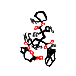 CCC(C)(CC(C)(CC(C)(C)C(=O)OC1C2CC3OC(=O)CC1C3C2)C(=O)OC1(CC)C2CC3CC(C2)CC1C3)C(=O)OC1(C(C)C)CCCC1